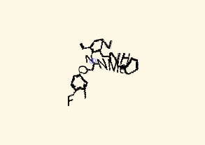 C=Cc1ccnc(CNCC2=CC=CC2)c1/N=C(/COc1ccc(F)c(C)c1)NC